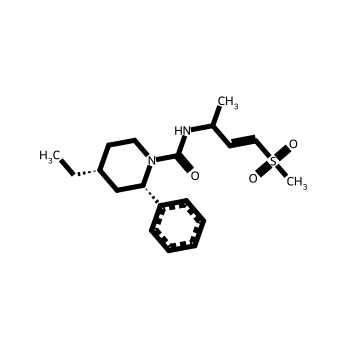 CC[C@@H]1CCN(C(=O)NC(C)/C=C/S(C)(=O)=O)[C@H](c2ccccc2)C1